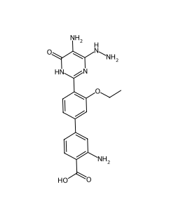 CCOc1cc(-c2ccc(C(=O)O)c(N)c2)ccc1-c1nc(NN)c(N)c(=O)[nH]1